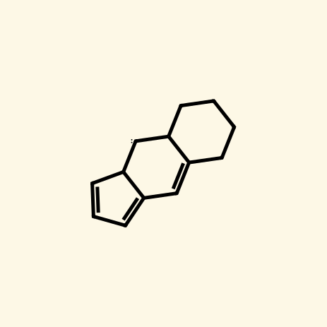 [C]1C2C=CC=C2C=C2CCCCC12